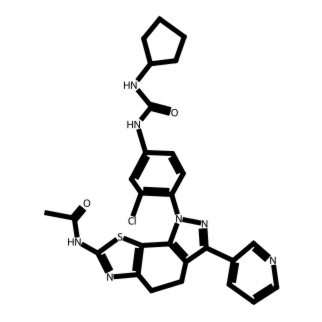 CC(=O)Nc1nc2c(s1)-c1c(c(-c3cccnc3)nn1-c1ccc(NC(=O)NC3CCCC3)cc1Cl)CC2